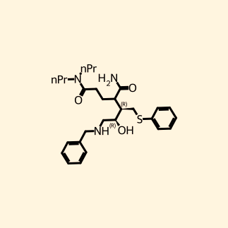 CCCN(CCC)C(=O)CCC(C(N)=O)[C@@H](CSc1ccccc1)[C@@H](O)CNCc1ccccc1